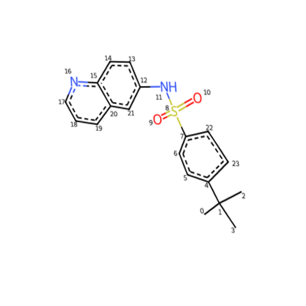 CC(C)(C)c1ccc(S(=O)(=O)Nc2ccc3ncccc3c2)cc1